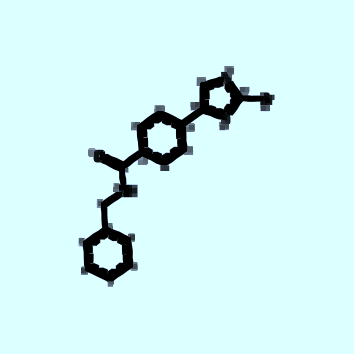 O=C(NCc1ccccc1)c1ccc(-c2cnc(Br)s2)cc1